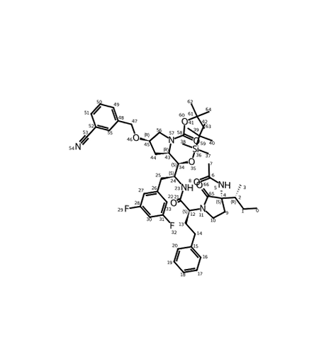 CC[C@@H](C)[C@@]1(NC(C)=O)CCN([C@@H](CCc2ccccc2)C(=O)N[C@@H](Cc2cc(F)cc(F)c2)[C@H](O[Si](C)(C)C(C)(C)C)[C@H]2C[C@@H](OCc3cccc(C#N)c3)CN2C(=O)OC(C)(C)C)C1=O